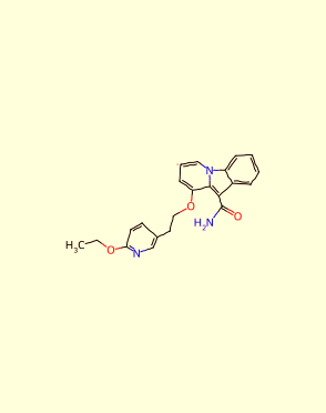 CCOc1ccc(CCOc2c[c]cn3c2c(C(N)=O)c2ccccc23)cn1